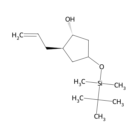 C=CC[C@@H]1CC(O[Si](C)(C)C(C)(C)C)C[C@H]1O